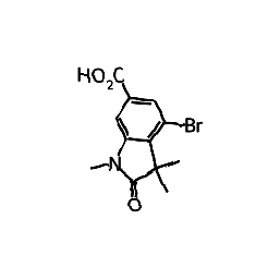 CN1C(=O)C(C)(C)c2c(Br)cc(C(=O)O)cc21